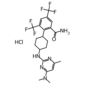 Cc1cc(N(C)C)nc(NC2CCC(c3c(C(N)=O)cc(C(F)(F)F)cc3C(F)(F)F)CC2)n1.Cl